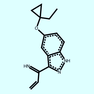 C=CC(=N)c1n[nH]c2ccc(OC3(CC)CC3)cc12